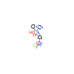 O=C1c2cc(-c3nnc(C(F)F)o3)ccc2CN1[C@H](c1cnccn1)[C@@H](O)c1ccccc1